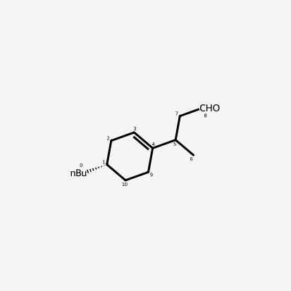 CCCC[C@@H]1CC=C(C(C)CC=O)CC1